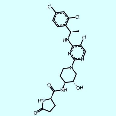 C[C@@H](Nc1nc(N2CC[C@H](NC(=O)[C@H]3CCC(=O)N3)[C@@H](O)C2)ncc1Cl)c1ccc(Cl)cc1Cl